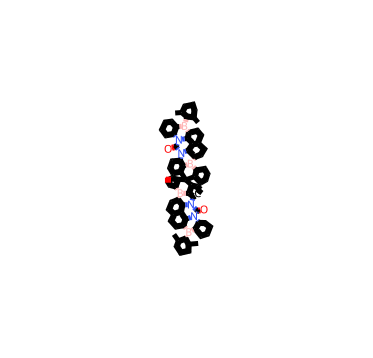 Cc1cccc(C)c1B1c2ccccc2N2C(=O)N3c4cccc5c4B(c4ccccc4C54c5ccccc5B5c6ccc7ccc8c9c7c6N(C(=O)N9c6ccccc6B8c6c(C)cccc6C)c6cccc4c65)c4ccc5ccc1c2c5c43